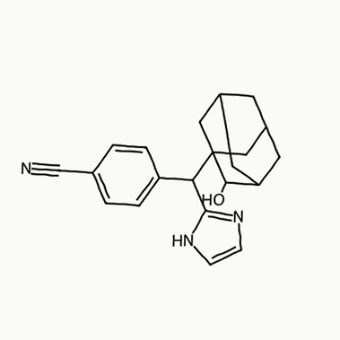 N#Cc1ccc(C(c2ncc[nH]2)C23CC4CC(CC(C4)C2O)C3)cc1